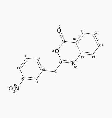 O=c1oc(Cc2cccc([N+](=O)[O-])c2)nc2ccccc12